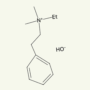 CC[N+](C)(C)CCc1ccccc1.[OH-]